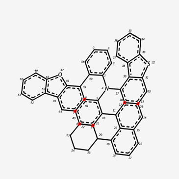 c1ccc(N(c2ccccc2-c2cccc3cccc(C4CCCCC4)c23)c2cccc3sc4ccccc4c23)c(-c2cccc3c2oc2ccccc23)c1